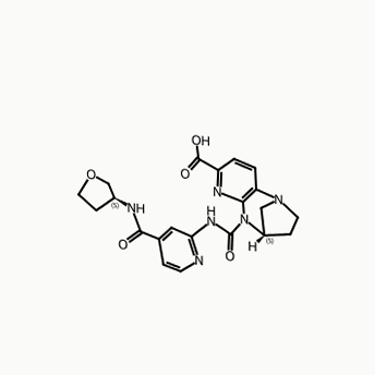 O=C(N[C@H]1CCOC1)c1ccnc(NC(=O)N2c3nc(C(=O)O)ccc3N3CC[C@H]2C3)c1